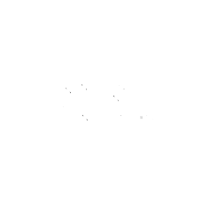 CCCCC(=O)N(S)c1nnc[nH]1